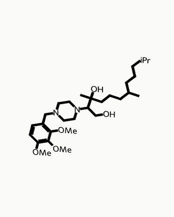 COc1ccc(CN2CCN(C(CO)C(C)(O)CCCC(C)CCCC(C)C)CC2)c(OC)c1OC